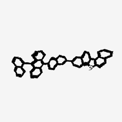 c1ccc2c(-c3c4ccccc4c(-c4ccc5cc(-c6ccc7c(ccc8c7sc7ccc9ccccc9c78)c6)ccc5c4)c4ccccc34)cccc2c1